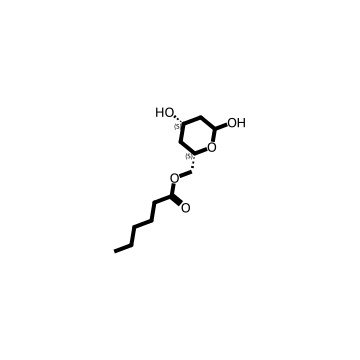 CCCCCC(=O)OC[C@@H]1C[C@H](O)CC(O)O1